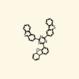 C1=CC2Oc3c(-c4nc(-c5ccc6sc7ccccc7c6c5)nc(-c5ccc6sc7ccccc7c6c5)n4)cccc3C2C=C1